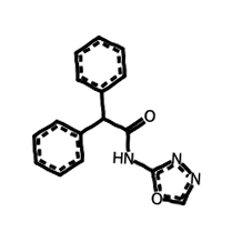 O=C(Nc1nnco1)C(c1ccccc1)c1ccccc1